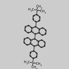 C[Si](C)(C)c1ccc(-c2c3ccccc3c(-c3c4ccccc4c(-c4ccc([Si](C)(C)C)cc4)c4ccccc34)c3ccccc23)cc1